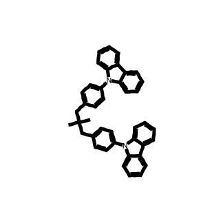 CC(C)(Cc1ccc(-n2c3ccccc3c3ccccc32)cc1)Cc1ccc(-n2c3ccccc3c3ccccc32)cc1